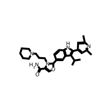 Cc1cc(-c2[nH]c3ccc(C4OC=C(C(N)=O)N4CCCN4CCCCC4)cc3c2C(C)C)cc(C)n1